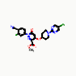 COC(=O)c1nn(-c2ccc(C#N)c(F)c2)c(=O)cc1OC1CCN(c2ncc(Br)cn2)CC1